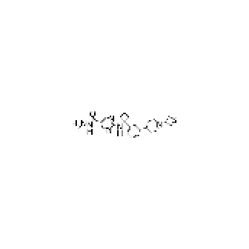 NNC(=O)c1cnc(NC2(c3cccc(C4CCN(C5CSC5)CC4)c3)CCC2)nc1